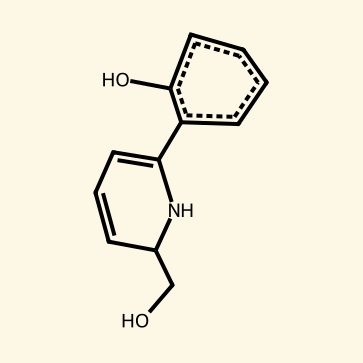 OCC1C=CC=C(c2ccccc2O)N1